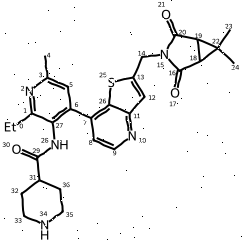 CCc1nc(C)cc(-c2ccnc3cc(CN4C(=O)C5C(C4=O)C5(C)C)sc23)c1NC(=O)C1CCNCC1